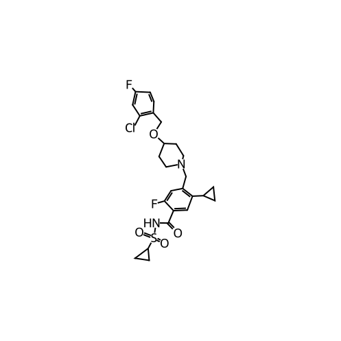 O=C(NS(=O)(=O)C1CC1)c1cc(C2CC2)c(CN2CCC(OCc3ccc(F)cc3Cl)CC2)cc1F